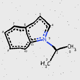 CC(C)n1[c]cc2ccccc21